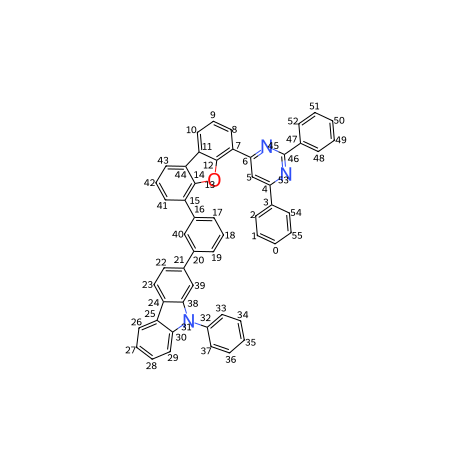 c1ccc(-c2cc(-c3cccc4c3oc3c(-c5cccc(-c6ccc7c8ccccc8n(-c8ccccc8)c7c6)c5)cccc34)nc(-c3ccccc3)n2)cc1